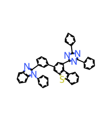 c1ccc(-c2nc(-c3ccccc3)nc(-c3cc(-c4cccc(-c5nc6ccccc6n5-c5ccccc5)c4)cc4sc5ccccc5c34)n2)cc1